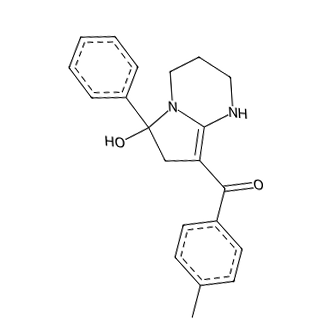 Cc1ccc(C(=O)C2=C3NCCCN3C(O)(c3ccccc3)C2)cc1